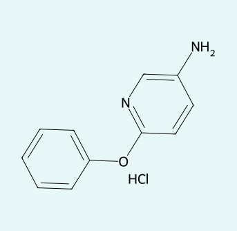 Cl.Nc1ccc(Oc2ccccc2)nc1